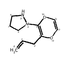 C=CCC1=C(N2CCCN2)OC=CO1